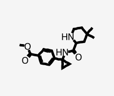 COC(=O)c1ccc(C2(NC(=O)C3CC(C)(C)CCN3)CC2)cc1